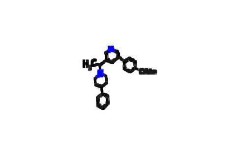 COc1ccc(-c2cncc(C(C)N3CC=C(c4ccccc4)CC3)c2)cc1